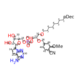 CCCCCCCCCCCCCCCCCCOC[C@H](COP(=O)(O)OC[C@@]1(C)O[C@@H](c2ccc3c(N)ncnn23)[C@H](O)[C@@H]1O)OCc1ccc(C#N)c(OC)c1